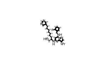 CC(C)c1cnn2c(NCc3ccccc3F)cc(N[C@@H](CO)CCCCCCCc3cncnc3)nc12